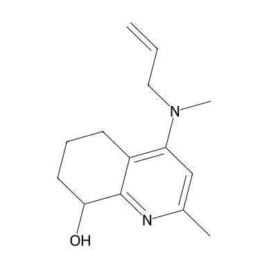 C=CCN(C)c1cc(C)nc2c1CCCC2O